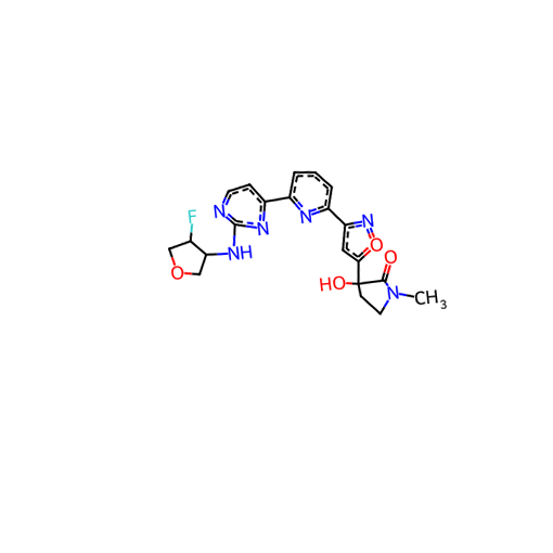 CN1CCC(O)(c2cc(-c3cccc(-c4ccnc(NC5COCC5F)n4)n3)no2)C1=O